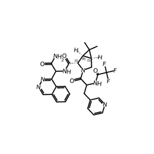 CC1(C)[C@@H]2[C@@H](C(=O)NC(C(N)=O)c3nncc4ccccc34)N(C(=O)C(Cc3cccnc3)NC(=O)C(F)(F)F)C[C@@H]21